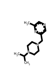 Cc1cncc(CN2CCN(C(C)C)CC2)n1